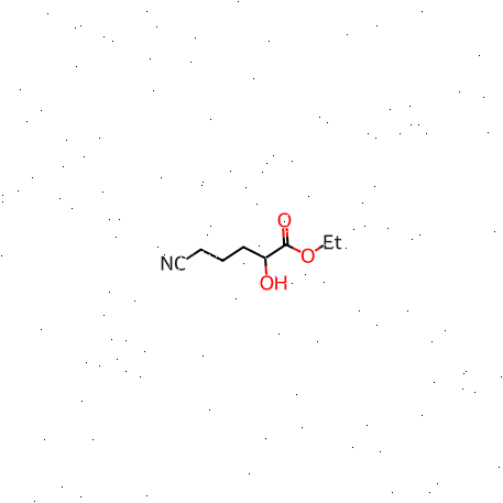 CCOC(=O)C(O)CCCC#N